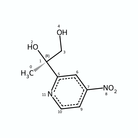 C[C@](O)(CO)c1cc([N+](=O)[O-])ccn1